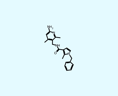 Cc1cc(N)nc(C)c1CNC(=O)c1ccn(Cc2ccccc2)c1C